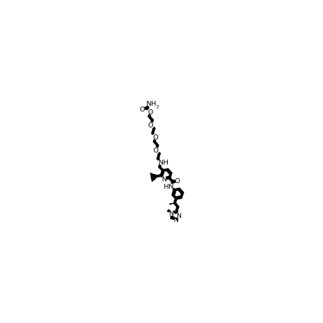 C[C@H](Cc1nncn1C)c1cccc(NC(=O)c2ccc(CNCCOCCOCCOCCOC(N)=O)c(C3CC3)n2)c1